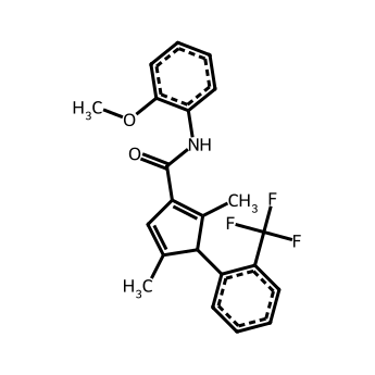 COc1ccccc1NC(=O)C1=C(C)C(c2ccccc2C(F)(F)F)C(C)=C1